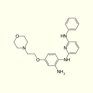 Nc1cc(OCCN2CCOCC2)ccc1Nc1cc[c]c(Nc2ccccc2)n1